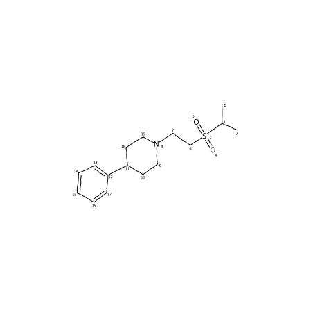 CC(C)S(=O)(=O)CCN1CCC(c2ccccc2)CC1